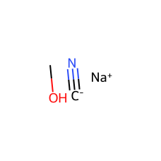 CO.[C-]#N.[Na+]